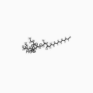 CCCCCCCCCCCCC(C)CC(C)COCC(COP(=O)(O)CCN(CC)CC)OC(=O)CCC